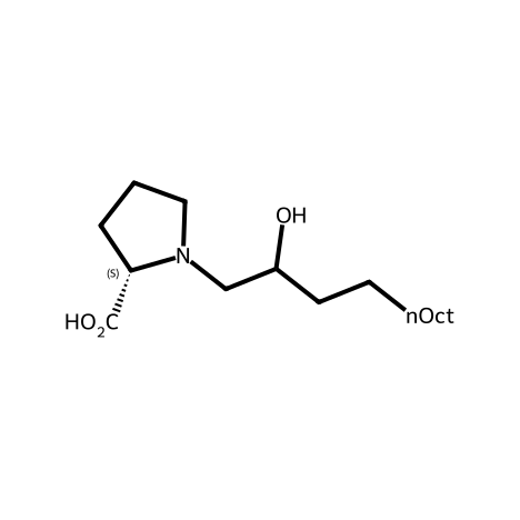 CCCCCCCCCCC(O)CN1CCC[C@H]1C(=O)O